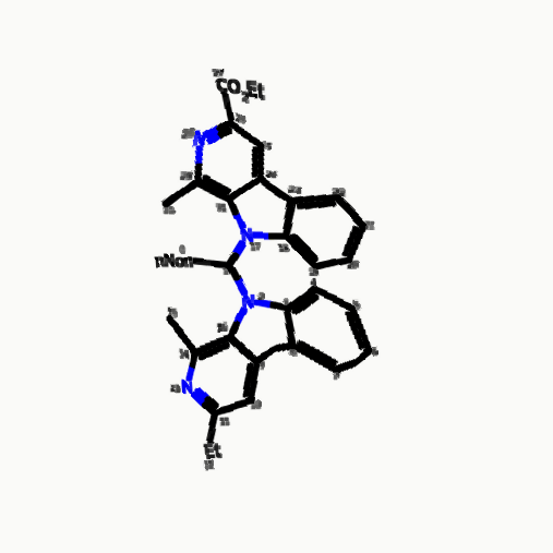 CCCCCCCCCC(n1c2ccccc2c2cc(CC)nc(C)c21)n1c2ccccc2c2cc(C(=O)OCC)nc(C)c21